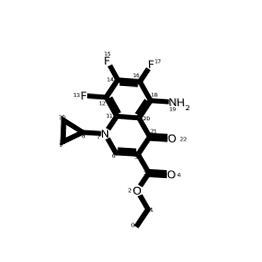 CCOC(=O)c1cn(C2CC2)c2c(F)c(F)c(F)c(N)c2c1=O